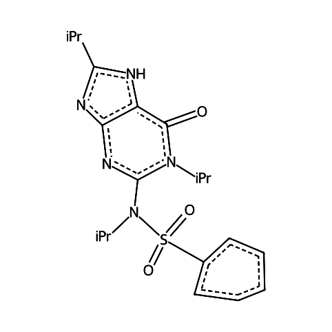 CC(C)c1nc2nc(N(C(C)C)S(=O)(=O)c3ccccc3)n(C(C)C)c(=O)c2[nH]1